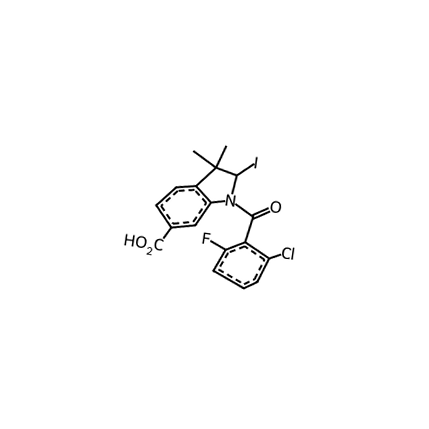 CC1(C)c2ccc(C(=O)O)cc2N(C(=O)c2c(F)cccc2Cl)C1I